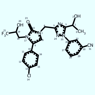 CC(O)c1nc(Cn2cc(-c3ccc(Cl)cc3)n(CC(O)C(F)(F)F)c2=O)nn1-c1cccc(C#N)c1